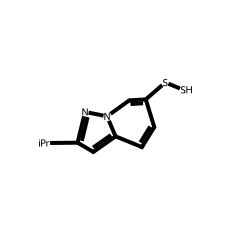 CC(C)c1cc2ccc(SS)cn2n1